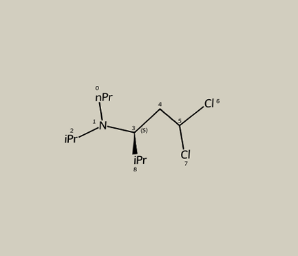 CCCN(C(C)C)[C@@H](CC(Cl)Cl)C(C)C